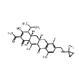 CN(C)[C@@H]1C(O)=C(C(N)=O)C(=O)[C@@]2(O)C(O)=C3C(=O)c4c(O)cc(CNC5(C)CC5)c(F)c4C[C@H]3C[C@@H]12